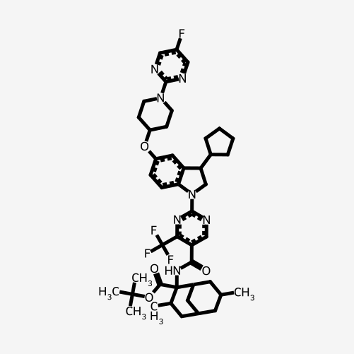 CC1CC2CC(C)C(NC(=O)c3cnc(N4CC(C5CCCC5)c5cc(OC6CCN(c7ncc(F)cn7)CC6)ccc54)nc3C(F)(F)F)(C(=O)OC(C)(C)C)C(C1)C2